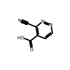 N#Cc1nnccc1C(=O)O